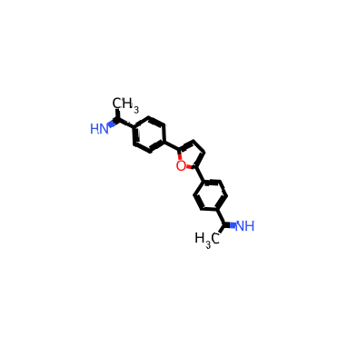 CC(=N)c1ccc(-c2ccc(-c3ccc(C(C)=N)cc3)o2)cc1